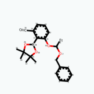 CCC(OCc1ccccc1)Oc1cccc(C=O)c1B1OC(C)(C)C(C)(C)O1